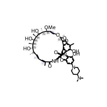 CO[C@H]1/C=C/O[C@@]2(C)Oc3c(C)c(O)c4c(=O)c(c5oc6cc(N7CCC(N(C)C)CC7)cc(O)c6nc-5c4c3C2=O)NC(=O)/C(C)=C\C=C\[C@H](C)[C@H](O)[C@@H](C)[C@@H](O)[C@@H](C)[C@H](O)[C@@H]1C